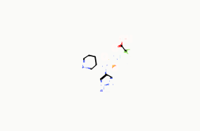 CN1C[C@H](F)C[C@H](N(c2cnn(C)c2)S(N)(=O)=O)C1.O=C(O)C(F)(F)F